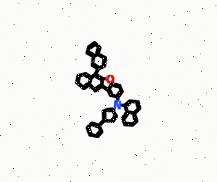 c1ccc(-c2ccc(N(c3ccc4oc5c(-c6ccc7ccccc7c6)c6ccccc6cc5c4c3)c3cccc4ccccc34)cc2)cc1